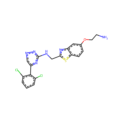 NCCOc1ccc2sc(CNc3nncc(-c4c(Cl)cccc4Cl)n3)nc2c1